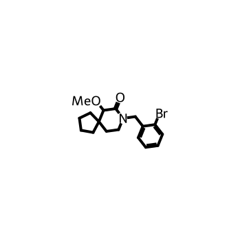 COC1C(=O)N(Cc2ccccc2Br)CCC12CCCC2